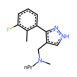 CCCN(C)Cc1c[nH]nc1-c1cccc(F)c1C